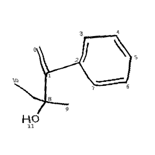 C=C(c1ccccc1)C(C)(C)O